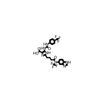 O=C(Nc1ccc(C(F)(F)F)cc1)Nc1[nH]c(CCCC(=O)N(c2ccc3[nH]cnc3c2)C(F)(F)F)nc1C(=O)O